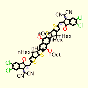 [C-]#[N+]/C(C#N)=C1\C(=C\c2cc3c(s2)-c2sc4c(OCCCCCCCC)c5cc6c7c(sc6c(OCCCCCCCC)c5cc4c2C3(CCCCCC)CCCCCC)-c2sc(/C=C3\C(=O)c4cc(Cl)c(Cl)cc4\C3=C(\C#N)[N+]#[C-])cc2C7(CCCCCC)CCCCCC)C(=O)c2cc(Cl)c(Cl)cc21